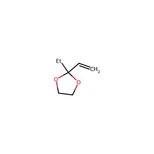 C=CC1(CC)OCCO1